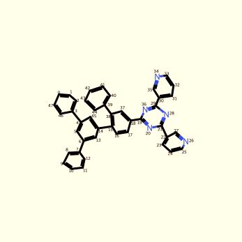 c1ccc(-c2cc(-c3ccccc3)cc(-c3ccc(-c4nc(-c5cccnc5)nc(-c5cccnc5)n4)cc3-c3ccccc3)c2)cc1